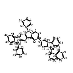 c1ccc(C2c3ccc(-c4ccc5c(c4)c4ccccc4n5-c4cccc5ccccc45)cc3-c3cc4c(cc32)c2ccccc2n4-c2ccccc2)cc1